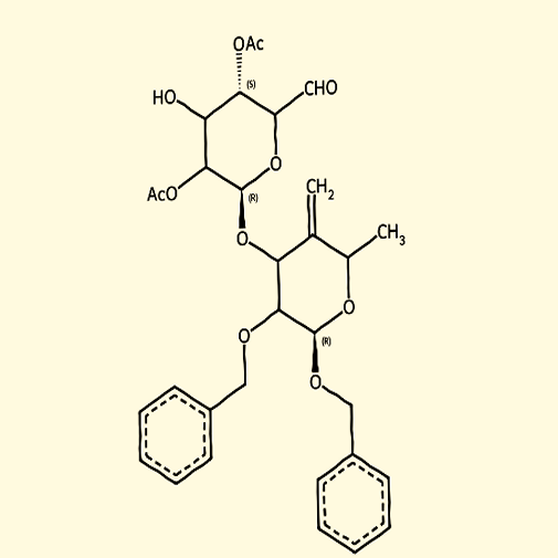 C=C1C(C)O[C@@H](OCc2ccccc2)C(OCc2ccccc2)C1O[C@@H]1OC(C=O)[C@@H](OC(C)=O)C(O)C1OC(C)=O